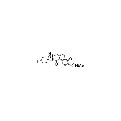 CNC[C@@H](C)n1ccc2c(C(=O)NCC3(O)CCC(F)CC3)c(Cl)ccc2c1=O